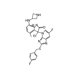 CCC(C(N)=O)(c1cc(NC2CNC2)ccc1C)n1cc(F)cc2nc(SCc3ccc(F)cc3)nc1-2